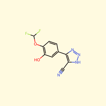 N#Cc1[nH]nnc1-c1ccc(OC(F)F)c(O)c1